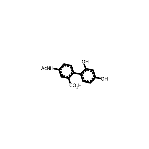 CC(=O)Nc1ccc(-c2ccc(O)cc2O)c(C(=O)O)c1